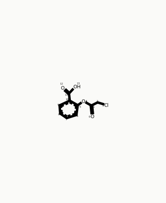 O=C(CCl)Oc1ccccc1C(=O)O